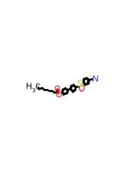 CCCCCCCCC(=O)Oc1ccc(-c2ccc(C(=O)Sc3ccc(C#N)cc3)cc2)cc1